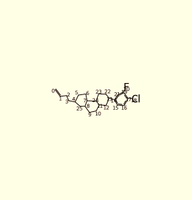 C=CCCC1CCC2C(CCC3CC(c4ccc(Cl)c(F)c4)CCC32)C1